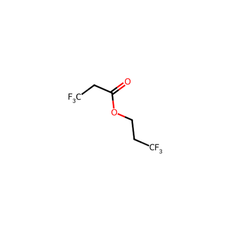 O=C(CC(F)(F)F)OCCC(F)(F)F